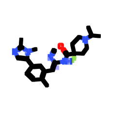 C=N/C(=C\c1cc(-c2cnc(C)n2C)ccc1C)NC(=O)C1(F)CCN(C(C)C)CC1